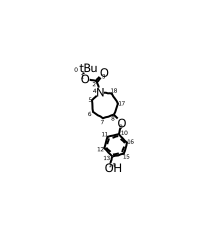 CC(C)(C)OC(=O)N1CCCC(Oc2ccc(O)cc2)CC1